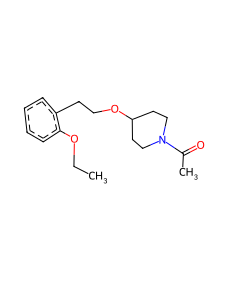 CCOc1ccccc1CCOC1CCN(C(C)=O)CC1